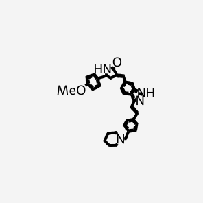 COc1ccc(C2C/C(=C\c3ccc4c(C=Cc5ccc(CN6CCCCC6)cc5)n[nH]c4c3)C(=O)N2)cc1